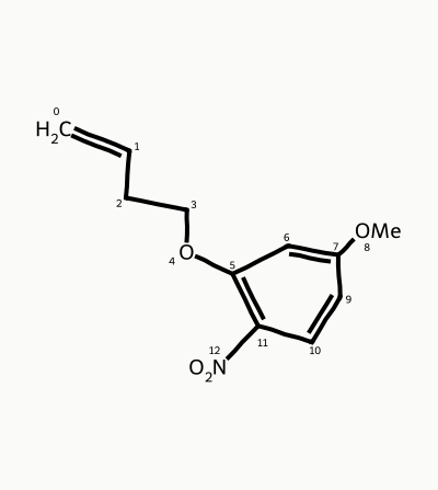 C=CCCOc1cc(OC)ccc1[N+](=O)[O-]